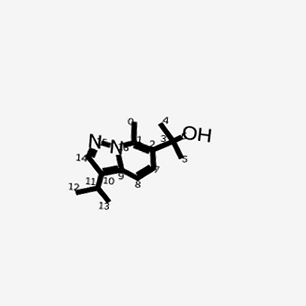 Cc1c(C(C)(C)O)ccc2c(C(C)C)cnn12